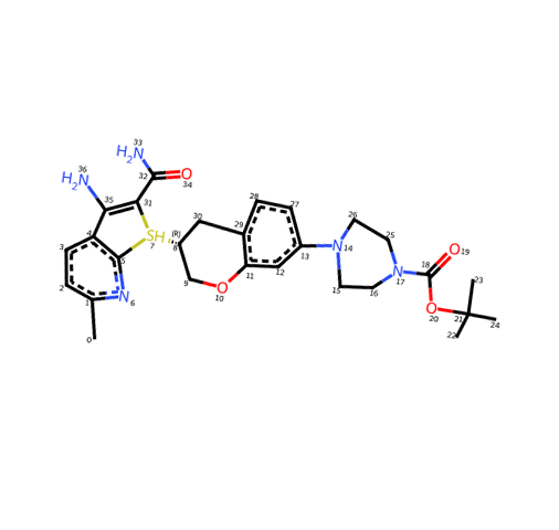 Cc1ccc2c(n1)[SH]([C@H]1COc3cc(N4CCN(C(=O)OC(C)(C)C)CC4)ccc3C1)C(C(N)=O)=C2N